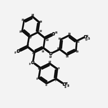 O=C1C(Oc2ccc(C(F)(F)F)cc2)=C(Oc2ccc(C(F)(F)F)cc2)C(=O)c2ccccc21